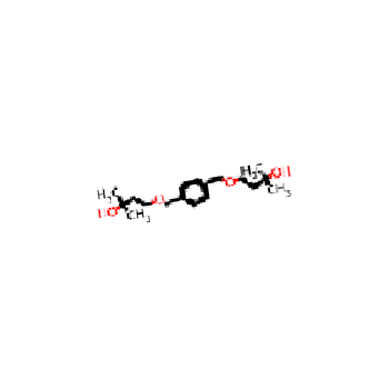 CC(C)(O)CCOCc1ccc(COCCC(C)(C)O)cc1